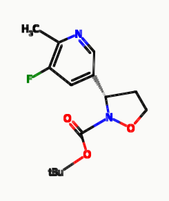 Cc1ncc([C@@H]2CCON2C(=O)OC(C)(C)C)cc1F